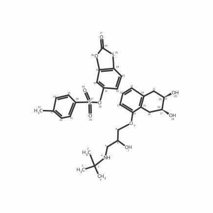 CC(C)(C)NCC(O)COc1cccc2c1C[C@H](O)[C@H](O)C2.Cc1ccc(S(=O)(=O)Oc2ccc3sc(=O)oc3c2)cc1